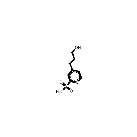 CS(=O)(=O)c1cc([CH]CCO)ccn1